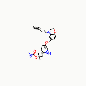 COCCCN1CCOc2ccc(CO[C@@H]3CC[C@@H](CC(C)(C)OC(=O)N(C)C)NC3)cc21